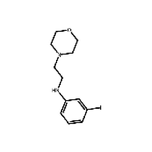 Ic1cccc(NCCN2CCOCC2)c1